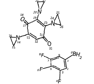 Bc1cc(F)c(F)c(F)c1.O=C1C=C(N2CC2)C(=O)C(N2CC2)=C1N1CC1